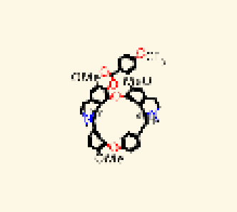 COc1ccc2cc1Oc1ccc(cc1)C[C@H]1c3cc(c(OC)cc3CCN1C)Oc1c(OC(=O)c3ccc(OC(F)(F)F)cc3)c(OC)cc3c1[C@H](C2)N(C)CC3